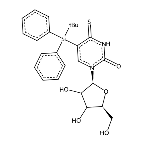 CC(C)(C)[Si](c1ccccc1)(c1ccccc1)c1cn([C@H]2O[C@@H](CO)C(O)C2O)c(=O)[nH]c1=S